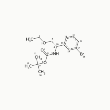 CCOC[C@@H](NC(=O)OC(C)(C)C)c1cccc(Br)c1